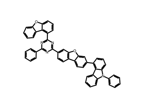 c1ccc(-c2nc(-c3ccc4c(c3)oc3cc(-c5cccc6c5c5ccccc5n6-c5ccccc5)ccc34)nc(-c3cccc4oc5ccccc5c34)n2)cc1